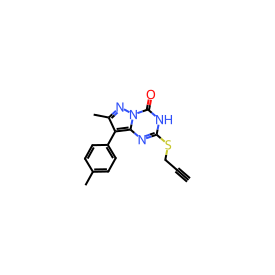 C#CCSc1nc2c(-c3ccc(C)cc3)c(C)nn2c(=O)[nH]1